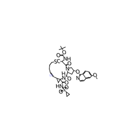 COc1ccc2c(OC3CC4C(=O)NC5(C(=O)NS(=O)(=O)C6CC6)CC5/C=C\CCCSCC(NC(=O)OC(C)(C)C)C(=O)N4C3)nccc2c1